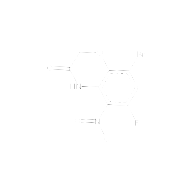 O=C1COc2c(Br)cc(F)c([N+](=O)[O-])c2N1